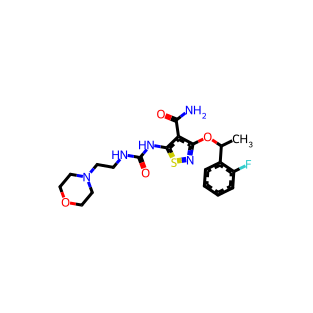 CC(Oc1nsc(NC(=O)NCCN2CCOCC2)c1C(N)=O)c1ccccc1F